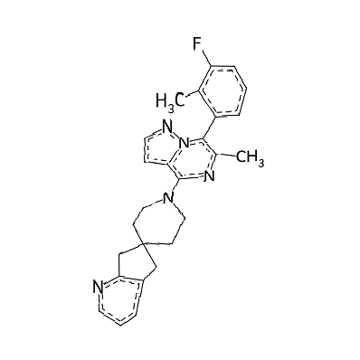 Cc1nc(N2CCC3(CC2)Cc2cccnc2C3)c2ccnn2c1-c1cccc(F)c1C